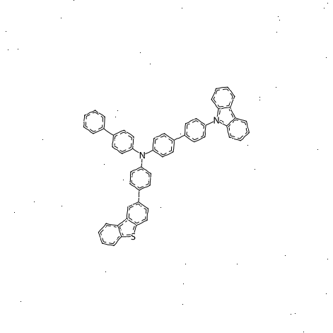 c1ccc(-c2ccc(N(c3ccc(-c4ccc(-n5c6ccccc6c6ccccc65)cc4)cc3)c3ccc(-c4ccc5sc6ccccc6c5c4)cc3)cc2)cc1